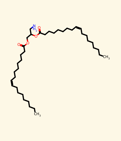 CCCCCCCC/C=C\CCCCCCCC(=O)OCC(CN)OC(=O)CCCCCCC/C=C\CCCCCCCC